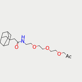 CC(=O)COCCOCCOCCNC(=O)CC12CC3CC(CC(C3)C1)C2